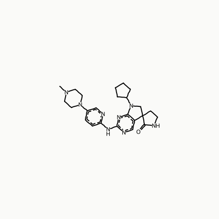 CN1CCN(c2ccc(Nc3ncc4c(n3)N(C3CCCC3)CC43CCNC3=O)nc2)CC1